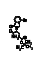 CC(C)(C)OC(=O)CCC(C(N)=O)N1Cc2c(Br)cccc2C1=O